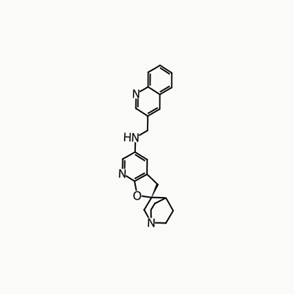 c1ccc2ncc(CNc3cnc4c(c3)C[C@@]3(CN5CCC3CC5)O4)cc2c1